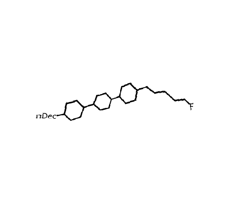 CCCCCCCCCCC1CCC(C2CCC(C3CCC(CCCCCF)CC3)CC2)CC1